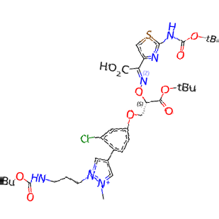 C[n+]1cc(-c2ccc(OC[C@H](O/N=C(\C(=O)O)c3csc(NC(=O)OC(C)(C)C)n3)C(=O)OC(C)(C)C)cc2Cl)cn1CCCNC(=O)OC(C)(C)C